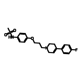 CS(=O)(=O)Nc1ccc(OCCCN2CC=C(c3ccc(F)cc3)CC2)cc1